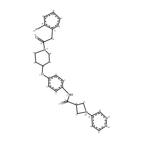 O=C(Nc1ccc(OC2CCN(C(=O)Cc3ccccc3F)CC2)cc1)C1CN(c2ccnnc2)C1